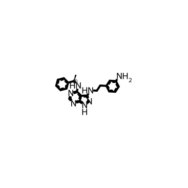 C[C@@H](Nc1ncnc2[nH]nc(NCCc3cccc(N)c3)c12)c1ccccc1